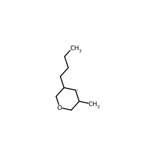 CCCCC1[C]C(C)COC1